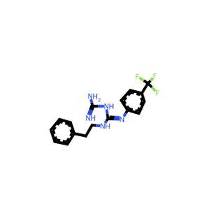 N=C(N)NC(=Nc1ccc(C(F)(F)F)cc1)NCCc1ccccc1